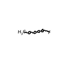 CCCCC1CCC(CCC2CCC(C3CCC(c4ccc(CCCCCF)cc4)CC3)CC2)CC1